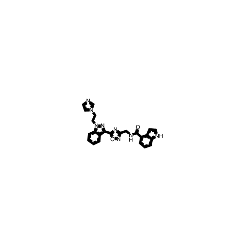 O=C(NCc1noc(-c2nn(CCn3ccnc3)c3ccccc23)n1)c1cccc2[nH]ccc12